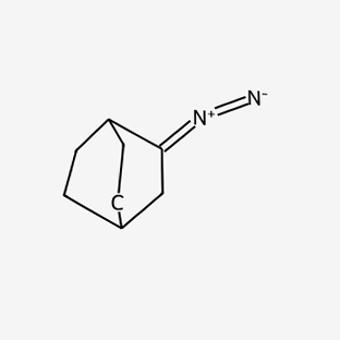 [N-]=[N+]=C1CC2CCC1CC2